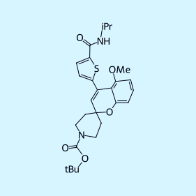 COc1cccc2c1C(c1ccc(C(=O)NC(C)C)s1)=CC1(CCN(C(=O)OC(C)(C)C)CC1)O2